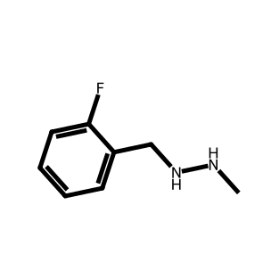 CNNCc1ccccc1F